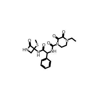 CCN1CCN(C(=O)NC(C(=O)NC2(SC)CNC2=O)c2ccccc2)C(=O)C1=O